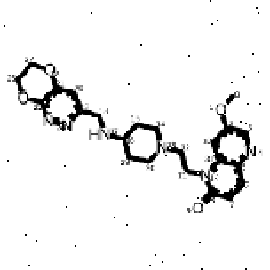 COc1cnc2ccc(=O)n(CCN3CCC(NCc4cc5c(nn4)OCCO5)CC3)c2c1